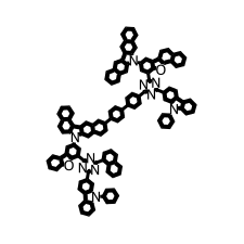 c1ccc(-n2c3ccccc3c3ccc(-c4nc(-c5cccc6ccccc56)nc(-c5cc(-n6c7cc8ccc(-c9ccc(-c%10ccc(-c%11nc(-c%12ccc%13c%14ccccc%14n(-c%14ccccc%14)c%13c%12)nc(-c%12cc(-n%13c%14cc%15ccccc%15cc%14c%14cc%15ccccc%15cc%14%13)cc%13c%12oc%12c%14ccccc%14ccc%13%12)n%11)cc%10)cc9)cc8cc7c7c8ccccc8ccc76)cc6c5oc5ccccc56)n4)cc32)cc1